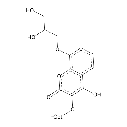 CCCCCCCCOc1c(O)c2cccc(OCC(O)CO)c2oc1=O